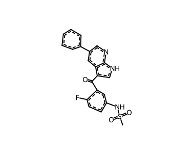 CS(=O)(=O)Nc1ccc(F)c(C(=O)c2c[nH]c3ncc(-c4ccccc4)cc23)c1